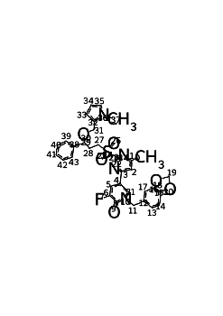 Cc1cc(-c2cc(F)c(=O)n(Cc3ccc4c(c3)OCO4)c2)nc(S(=O)(=O)CCC(OCc2cccn2C)c2ccccc2)n1